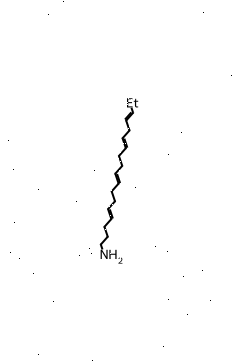 CC/C=C/C/C=C/CC/C=C/CC/C=C/CCCN